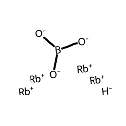 [H-].[O-]B([O-])[O-].[Rb+].[Rb+].[Rb+].[Rb+]